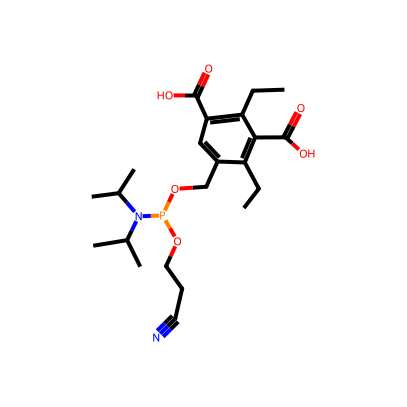 CCc1c(COP(OCCC#N)N(C(C)C)C(C)C)cc(C(=O)O)c(CC)c1C(=O)O